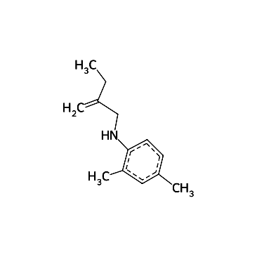 C=C(CC)CNc1ccc(C)cc1C